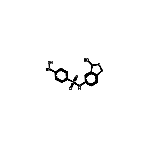 O=S(=O)(Nc1ccc2c(c1)B(O)OC2)c1ccc(NO)cc1